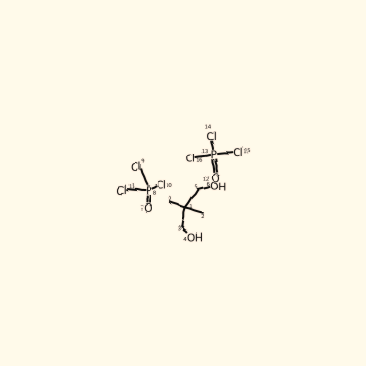 CC(C)(CO)CO.O=P(Cl)(Cl)Cl.O=P(Cl)(Cl)Cl